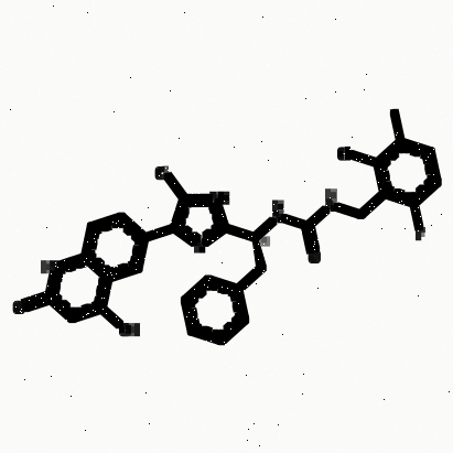 Cc1ccc(F)c(CNC(=O)N[C@@H](Cc2ccccc2)c2nc(-c3ccc4[nH]c(=O)cc(O)c4c3)c(Cl)[nH]2)c1Cl